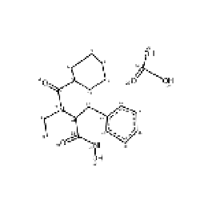 CCN(C(=O)C1CCCCC1)C(Cc1ccccc1)C(=O)NO.O=C(O)O